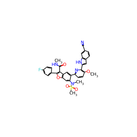 CNC(=O)c1c(-c2ccc(F)cc2)oc2cc(N(C)S(C)(=O)=O)c(-c3ccc(OC)c(-c4cc5ccc(C#N)cc5[nH]4)n3)cc12